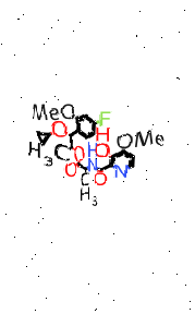 COc1cc(F)ccc1[C@@H](OC1CC1)[C@H](C)OC(=O)[C@H](C)NC(=O)c1nccc(OC)c1O